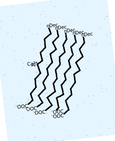 CCCCCCCCCCCCCCCCCCCCCC(=O)[O-].CCCCCCCCCCCCCCCCCCCCCC(=O)[O-].CCCCCCCCCCCCCCCCCCCCCC(=O)[O-].CCCCCCCCCCCCCCCCCCCCCC(=O)[O-].CCCCCCCCCCCCCCCCCCCCCC(=O)[O-].[Al+3].[Ca+2]